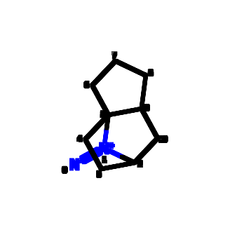 [N-]=[N+]1C2CCC13CCCC3C2